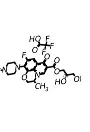 CC1COc2c(N3CCN(C)CC3)c(F)cc3c(=O)c(C(=O)OC[C@@H](O)CO)cn1c23.O=C(O)C(F)(F)F